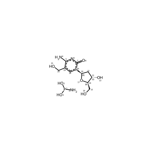 NP(O)O.Nc1nc(=O)n([C@H]2C[C@H](O)[C@@H](CO)O2)cc1CO